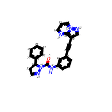 O=C(Nc1cccc(C#Cc2cnn3cccnc23)c1)N1N=CCC1c1ccccc1